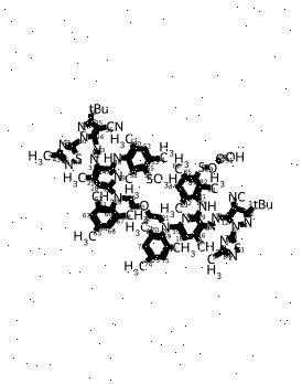 [C-]#[N+]c1c(C(C)(C)C)nn(-c2nc(C)ns2)c1N=Nc1c(C)cc(N(CCOCCN(c2cc(C)c(N=Nc3c(C#N)c(C(C)(C)C)nn3-c3nc(C)ns3)c(Nc3c(C)cc(C)c(S(=O)(=O)O)c3C)n2)c2c(C)cc(C)cc2C)c2c(C)cc(C)cc2C)nc1Nc1c(C)cc(C)c(SOOO)c1C